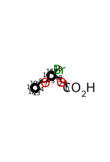 O=C(O)COCc1cc(OCc2ccccc2)ccc1Br